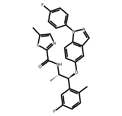 Cc1cnc(C(=O)N[C@@H](C)[C@@H](Oc2ccc3c(cnn3-c3ccc(F)cc3)c2)c2cc(F)ccc2C)s1